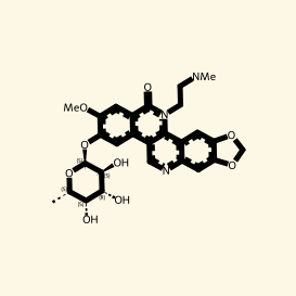 CNCCn1c(=O)c2cc(OC)c(O[C@@H]3O[C@@H](C)[C@@H](O)[C@@H](O)[C@@H]3O)cc2c2cnc3cc4c(cc3c21)OCO4